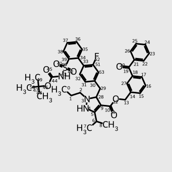 CCCN1NC(C(C)C)=C(C(=O)OCc2cccc(C(=O)c3ccccc3)c2)C1Cc1ccc(-c2ccccc2S(=O)(=O)NC(=O)OC(C)(C)C)c(F)c1